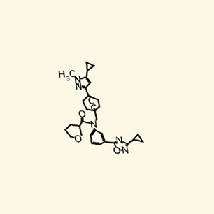 Cn1nc(C23CCC(CN(C(=O)C4CCCOC4)c4cccc(-c5nc(C6CC6)no5)c4)(CC2)CC3)cc1C1CC1